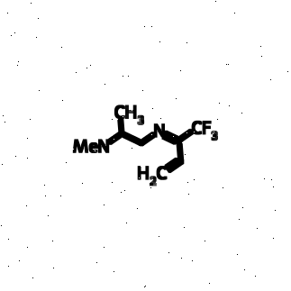 C=C/C(=N\CC(C)NC)C(F)(F)F